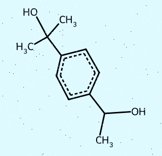 CC(O)c1ccc(C(C)(C)O)cc1